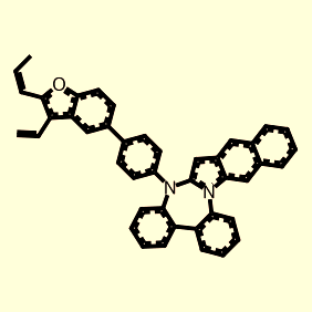 C=Cc1c(/C=C\C)oc2ccc(-c3ccc(N4c5ccccc5-c5ccccc5-n5c4cc4cc6ccccc6cc45)cc3)cc12